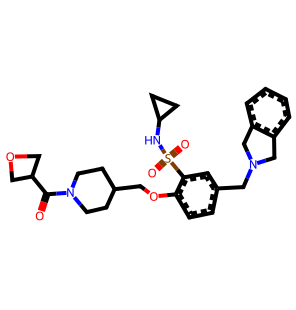 O=C(C1COC1)N1CCC(COc2ccc(CN3Cc4ccccc4C3)cc2S(=O)(=O)NC2CC2)CC1